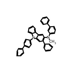 CN(c1cccc(-c2ccccc2)c1)c1cc2c3ccccc3n(-c3ccc(-c4ccccc4)cc3)c2cc1-c1ccccc1